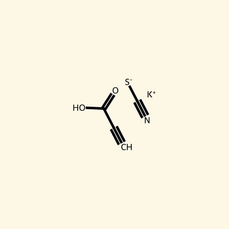 C#CC(=O)O.N#C[S-].[K+]